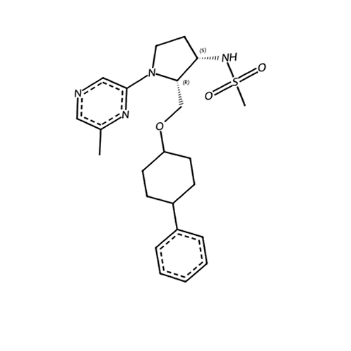 Cc1cncc(N2CC[C@H](NS(C)(=O)=O)[C@@H]2COC2CCC(c3ccccc3)CC2)n1